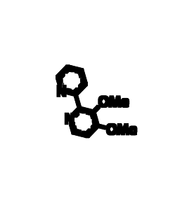 COc1ccnc(-c2ccccn2)c1OC